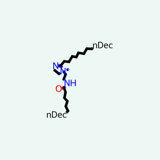 CCCCCCCCCCCCCCCCCCC1=NCC[N+]1(C)CCNC(=O)CCCCCCCCCCCCCCC